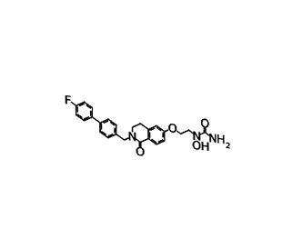 NC(=O)N(O)CCOc1ccc2c(c1)CCN(Cc1ccc(-c3ccc(F)cc3)cc1)C2=O